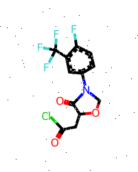 O=C(Cl)CC1OCN(c2ccc(F)c(C(F)(F)F)c2)C1=O